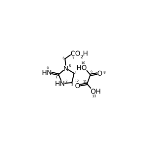 N=C1NCCN1CC(=O)O.O=C(O)C(=O)O